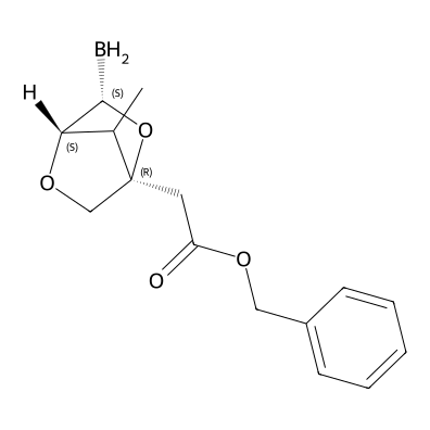 B[C@@H]1O[C@@]2(CC(=O)OCc3ccccc3)CO[C@H]1C2C